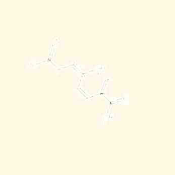 C=C(/C=C\C(O)=C/CC(=O)O)C(=O)O